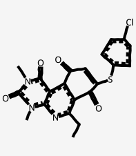 CCc1nc2c(c3c1C(=O)C(Sc1ccc(Cl)cc1)=CC3=O)c(=O)n(C)c(=O)n2C